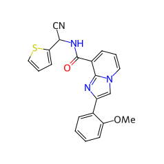 COc1ccccc1-c1cn2cccc(C(=O)NC(C#N)c3cccs3)c2n1